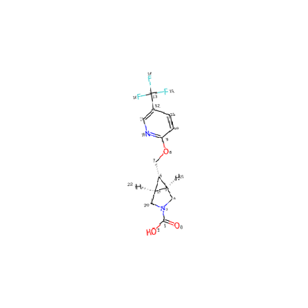 O=C(O)N1C[C@@H]2[C@@H](COc3ccc(C(F)(F)F)cn3)[C@@H]2C1